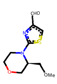 COC[C@H]1COCCN1c1nc(C=O)cs1